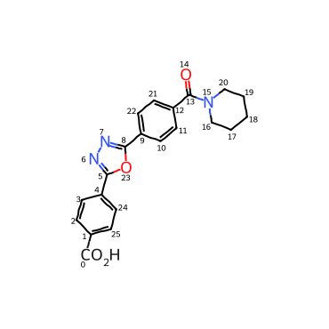 O=C(O)c1ccc(-c2nnc(-c3ccc(C(=O)N4CCCCC4)cc3)o2)cc1